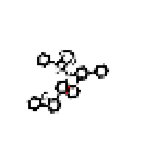 c1ccc(-c2ccc(N(c3ccc(-c4cccc5c4oc4ccccc45)cc3)c3sc(-c4ccccc4)c4c3OCCO4)c(-c3ccccc3)c2)cc1